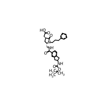 CC(C)(C)OC(=O)NC1Cc2ccc(C(=O)NC[C@@H]3C[C@@H](CC(=O)O)C(=O)N3CCCc3ccccc3)cc2C1